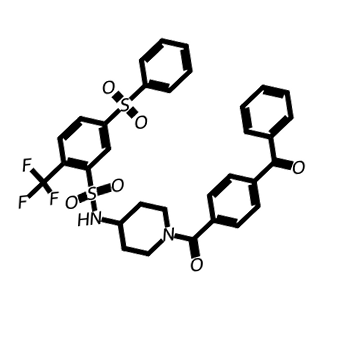 O=C(c1ccccc1)c1ccc(C(=O)N2CCC(NS(=O)(=O)c3cc(S(=O)(=O)c4ccccc4)ccc3C(F)(F)F)CC2)cc1